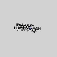 CC(C)c1cc(Cc2cc(C(C)C)c(/N=C/c3cccc(O)c3)c(C(C)C)c2)cc(C(C)C)c1N